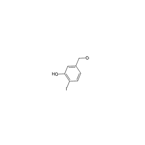 [O]Cc1ccc(I)c(O)c1